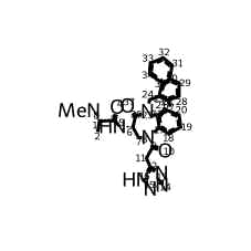 CN[C@@H](C)C(=O)N[C@H]1CN(C(=O)Cc2nnn[nH]2)c2ccccc2N(Cc2c(C)ccc3ccccc23)C1=O